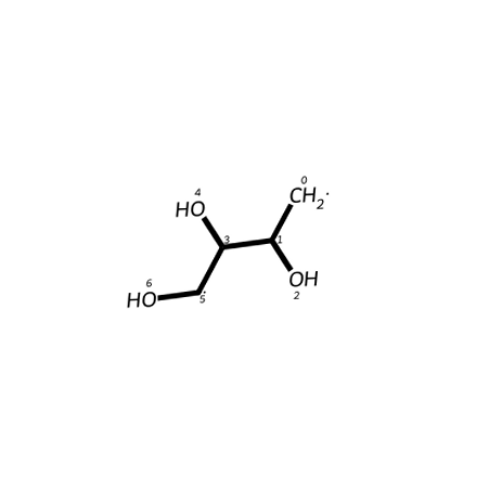 [CH2]C(O)C(O)[CH]O